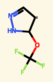 FC(F)(F)OC1[C]C=NN1